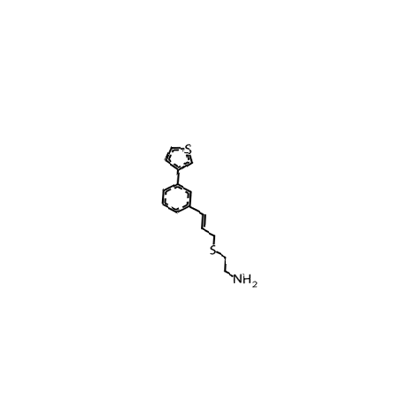 NCCSC/C=C/c1cccc(-c2ccsc2)c1